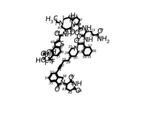 CCN1CC[C@H]2CC[C@@H](C(=O)N[C@@H](CCC(N)=O)C(=O)N[C@H](C(=O)N3CCC(CCC#Cc4cccc5c4CN(C4CCC(=O)NC4=O)C5=O)CC3)C3CCCCC3)N2C(=O)[C@@H](NC(=O)c2cc3cc(C(F)(F)P(=O)(O)O)ccc3s2)C1